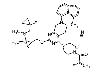 C=C(F)C(=O)N1CCN(c2nc(OCC3S[C@]3(C)N(C)CC3(F)CC3)nc3c2CCN(c2cccc4cccc(C)c24)C3)C[C@@H]1CC#N